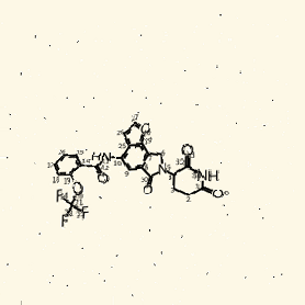 O=C1CCC(N2Cc3c(cc(NC(=O)c4ccccc4OC(F)(F)F)c4ccoc34)C2=O)C(=O)N1